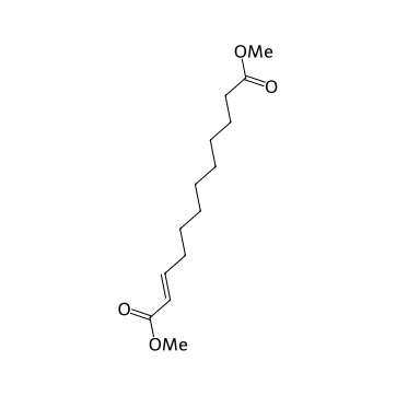 COC(=O)C=CCCCCCCCCC(=O)OC